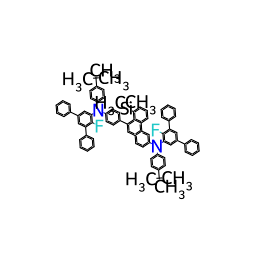 CC(C)(C)c1ccc(N(c2ccc3c(c2)[Si](C)(C)c2cccc4c2c-3cc2ccc(N(c3ccc(C(C)(C)C)cc3)c3cc(-c5ccccc5)cc(-c5ccccc5)c3F)cc24)c2cc(-c3ccccc3)cc(-c3ccccc3)c2F)cc1